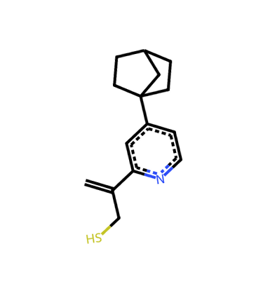 C=C(CS)c1cc(C23CCC(CC2)C3)ccn1